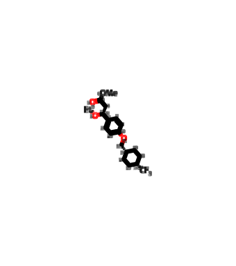 CCO[C@@H](CC(=O)OC)c1ccc(OC[C@H]2CC[C@@H](C(F)(F)F)CC2)cc1